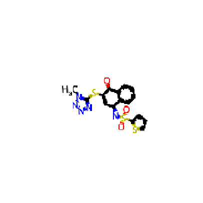 Cn1nnnc1SC1=C/C(=N/S(=O)(=O)c2cccs2)c2ccccc2C1=O